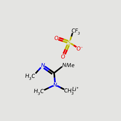 CN=C(NC)N(C)C.O=S(=O)([O-])C(F)(F)F.[Li+]